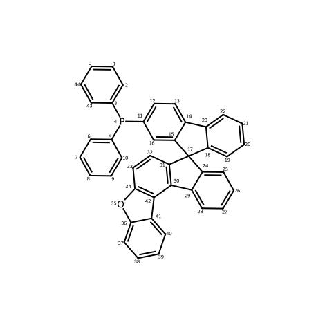 c1ccc(P(c2ccccc2)c2ccc3c(c2)C2(c4ccccc4-3)c3ccccc3-c3c2ccc2oc4ccccc4c32)cc1